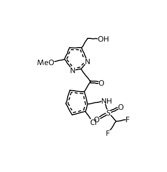 COc1cc(CO)nc(C(=O)c2cccc(Cl)c2NS(=O)(=O)C(F)F)n1